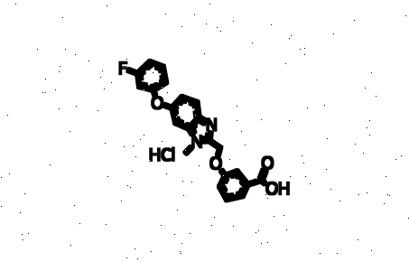 Cl.Cn1c(COc2cccc(C(=O)O)c2)nc2ccc(Oc3cccc(F)c3)cc21